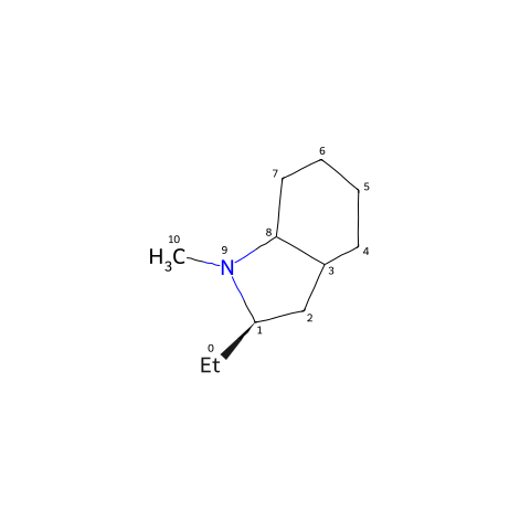 CC[C@@H]1CC2CCCCC2N1C